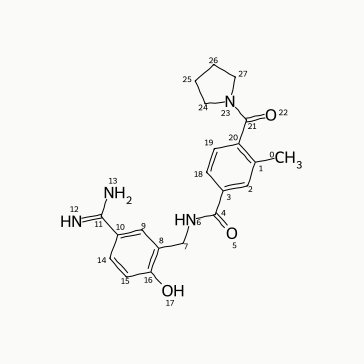 Cc1cc(C(=O)NCc2cc(C(=N)N)ccc2O)ccc1C(=O)N1CCCC1